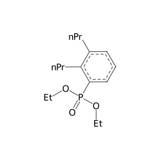 CCCc1cccc(P(=O)(OCC)OCC)c1CCC